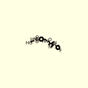 O=C(NCc1ccc(S(=O)(=O)NCCO)cc1)c1cncc2c1cnn2-c1ccc(F)cc1